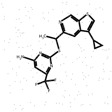 CC(Sc1nc(N)cc(C(F)(F)F)n1)c1cc2c(C3CC3)csc2cn1